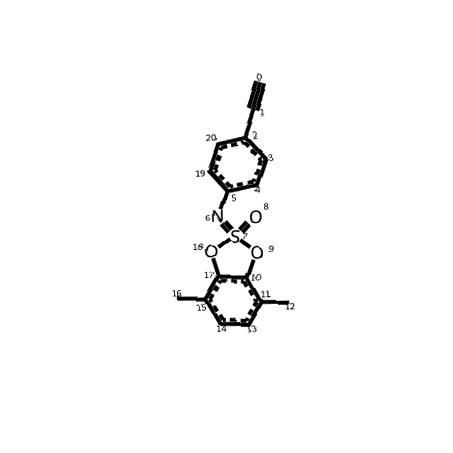 C#Cc1ccc(N=S2(=O)Oc3c(C)ccc(C)c3O2)cc1